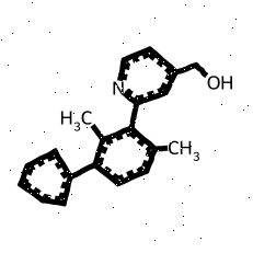 Cc1ccc(-c2ccccc2)c(C)c1-c1cc(CO)ccn1